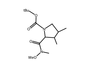 CON(C)C(=O)C1C(C)C(C)CN1C(=O)OC(C)(C)C